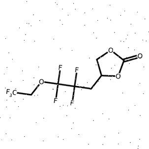 O=C1OCC(CC(F)(F)C(F)(F)OCC(F)(F)F)O1